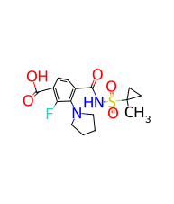 CC1(S(=O)(=O)NC(=O)c2ccc(C(=O)O)c(F)c2N2CCCC2)CC1